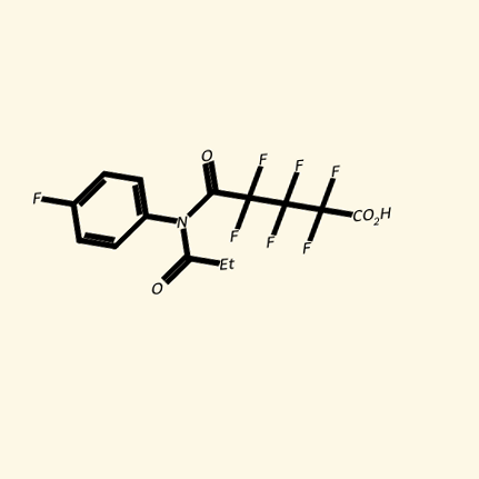 CCC(=O)N(C(=O)C(F)(F)C(F)(F)C(F)(F)C(=O)O)c1ccc(F)cc1